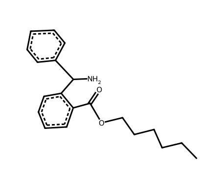 CCCCCCOC(=O)c1ccccc1C(N)c1ccccc1